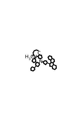 Cc1cccccc2ccc(N(c3ccc(-c4ccccc4)cc3)c3ccc(-c4cc5ccccc5c5ccc6ccccc6c45)cc3)cc2n1-c1ccccc1